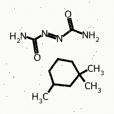 CC1CCCC(C)(C)C1.NC(=O)/N=N/C(N)=O